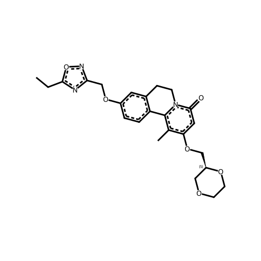 CCc1nc(COc2ccc3c(c2)CCn2c-3c(C)c(OC[C@@H]3COCCO3)cc2=O)no1